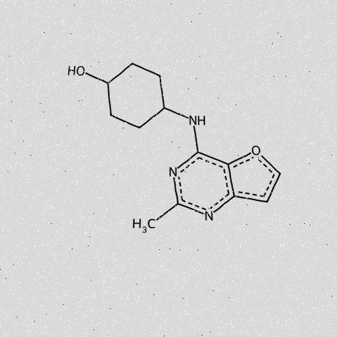 Cc1nc(NC2CCC(O)CC2)c2occc2n1